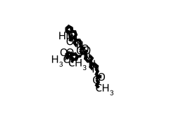 CCCOC(=O)CCN1CCN(C2CCN(C(=O)[C@@H](Cc3cc(C)c4c(c3)oc(=O)n4C)OC(=O)N3CCC(N4CCc5ccccc5NC4=O)CC3)CC2)CC1